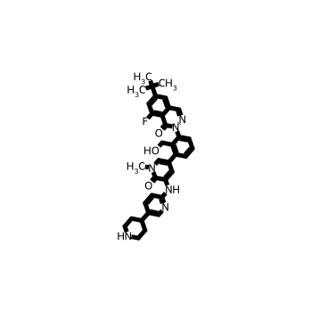 Cn1cc(-c2cccc(-n3ncc4cc(C(C)(C)C)cc(F)c4c3=O)c2CO)cc(Nc2ccc(C3CCNCC3)cn2)c1=O